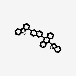 c1ccc2oc(-c3c4ccccc4c(-c4ccc5cc(-c6cccc7c6sc6ccccc67)ccc5c4)c4ccccc34)cc2c1